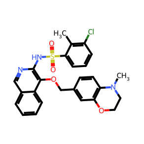 Cc1c(Cl)cccc1S(=O)(=O)Nc1ncc2ccccc2c1OCc1ccc2c(c1)OCCN2C